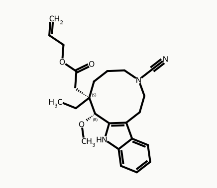 C=CCOC(=O)C[C@]1(CC)CCCN(C#N)CCc2c([nH]c3ccccc23)[C@@H]1OC